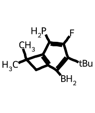 Bc1c2c(c(P)c(F)c1C(C)(C)C)C(C)(C)C2